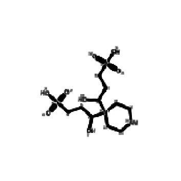 O=S(=O)(O)CCC(O)[N+]1(C(O)CCS(=O)(=O)O)CCNCC1